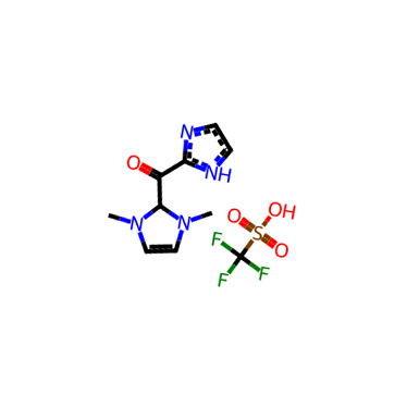 CN1C=CN(C)C1C(=O)c1ncc[nH]1.O=S(=O)(O)C(F)(F)F